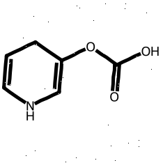 O=C(O)OC1=CNC=CC1